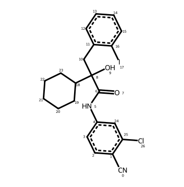 N#Cc1ccc(NC(=O)C(O)(Cc2ccccc2I)C2CCCCC2)cc1Cl